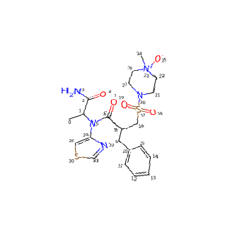 CC(C(N)=O)N(C(=O)C(Cc1ccccc1)CS(=O)(=O)N1CC[N+](C)([O-])CC1)c1cscn1